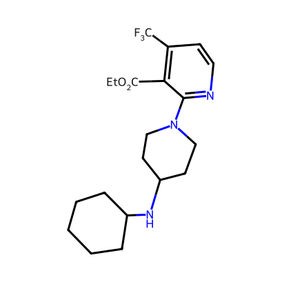 CCOC(=O)c1c(C(F)(F)F)ccnc1N1CCC(NC2CCCCC2)CC1